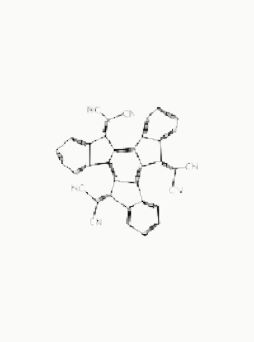 N#CC(C#N)=C1c2ccccc2-c2c1c1c(c3c2C(=C(C#N)C#N)c2ccccc2-3)C(=C(C#N)C#N)c2ccccc2-1